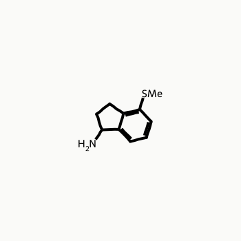 CSc1cccc2c1CCC2N